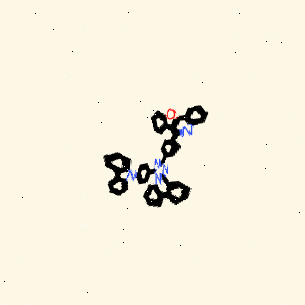 c1ccc(-c2ccccc2-c2nc(-c3ccc(-c4nc5ccccc5c5oc6ccccc6c45)cc3)nc(-c3ccc(-n4c5ccccc5c5ccccc54)cc3)n2)cc1